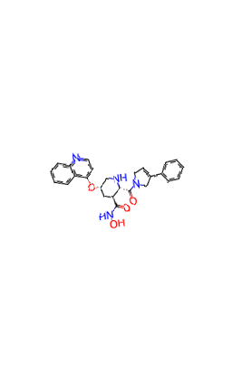 O=C(NO)[C@H]1C[C@H](Oc2ccnc3ccccc23)CN[C@@H]1C(=O)N1CC=C(c2ccccc2)C1